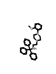 COc1ccccc1N1CCN(CCNC(c2ccccc2)(c2ccccc2)c2ccccc2)CC1